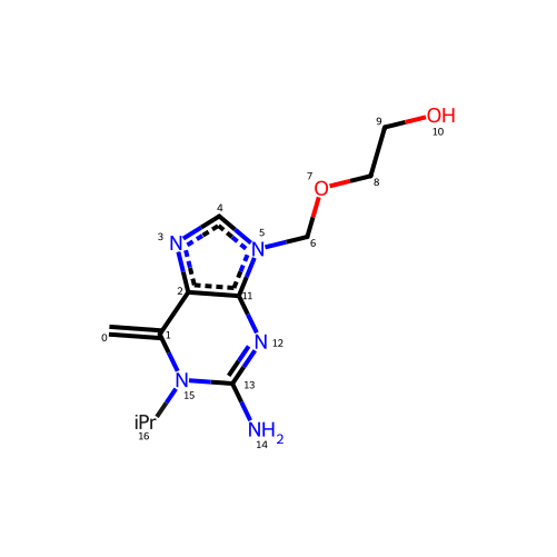 C=C1c2ncn(COCCO)c2N=C(N)N1C(C)C